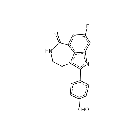 O=Cc1ccc(-c2nc3cc(F)cc4c3n2CCNC4=O)cc1